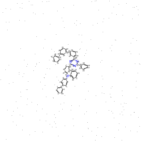 c1ccc(-c2ccc(-n3c4ccccc4c4c(-c5nc(-c6ccccc6)nc(-c6cccc(-c7cccc(-c8ccccc8)c7)c6)n5)cccc43)cc2)cc1